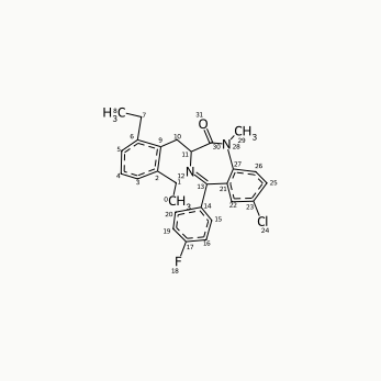 CCc1cccc(CC)c1CC1N=C(c2ccc(F)cc2)c2cc(Cl)ccc2N(C)C1=O